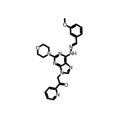 COc1cccc(C=NNc2nc(N3CCOCC3)nc3c2ncn3CC(=O)c2ccccn2)c1